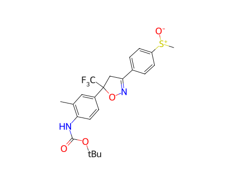 Cc1cc(C2(C(F)(F)F)CC(c3ccc([S+](C)[O-])cc3)=NO2)ccc1NC(=O)OC(C)(C)C